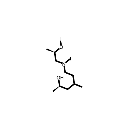 CC(CCN(I)C[C@@H](C)OI)C[C@@H](C)O